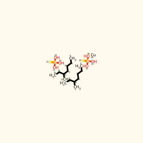 CCCCC(C)CC.CCCCC(C)CC.OP(O)(O)=S.OP(O)(O)=S.[Cu]